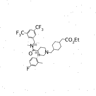 CCOC(=O)CC1CCC(CN2CC[C@H](C(=O)N(C)[C@@H](C)c3cc(C(F)(F)F)cc(C(F)(F)F)c3)[C@@H](c3ccc(F)cc3C)C2)CC1